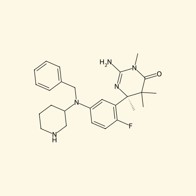 CN1C(=O)C(C)(C)[C@@](C)(c2cc(N(Cc3ccccc3)C3CCCNC3)ccc2F)N=C1N